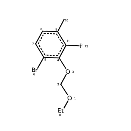 CCOCOc1c(Br)ccc(C)c1F